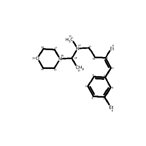 CC/C(=C/c1cccc(CC)c1)CCN(C)C(C)N1CCOCC1